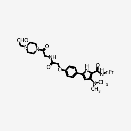 CCCNC(=O)c1[nH]c(-c2ccc(OCC(=O)NCC(=O)N3CCN(CC=O)CC3)cc2)cc1N(C)C